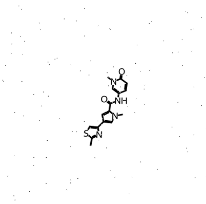 Cc1nc(-c2cc(C(=O)Nc3ccc(=O)n(C)c3)n(C)c2)cs1